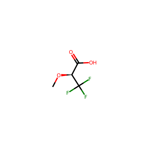 CO[C@@H](C(=O)O)C(F)(F)F